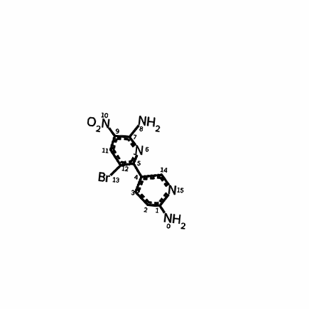 Nc1ccc(-c2nc(N)c([N+](=O)[O-])cc2Br)cn1